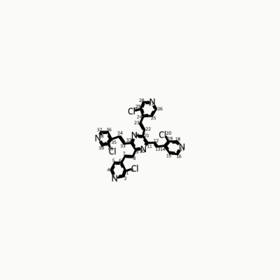 Clc1cnccc1C=Cc1nc(C=Cc2ccncc2Cl)c(C=Cc2ccncc2Cl)nc1C=Cc1ccncc1Cl